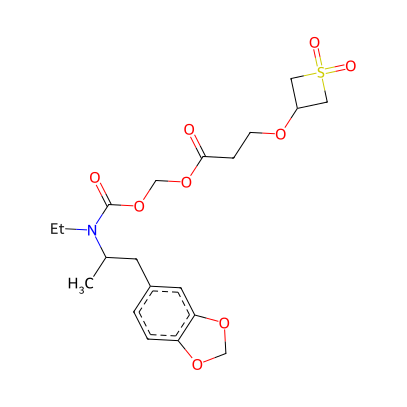 CCN(C(=O)OCOC(=O)CCOC1CS(=O)(=O)C1)C(C)Cc1ccc2c(c1)OCO2